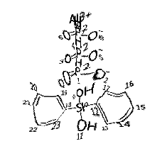 O=[PH2][O-].O=[PH2][O-].O=[PH2][O-].O[Si](O)(c1ccccc1)c1ccccc1.[Al+3]